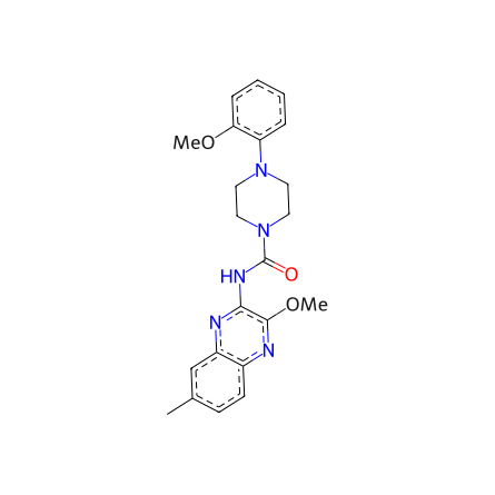 COc1ccccc1N1CCN(C(=O)Nc2nc3cc(C)ccc3nc2OC)CC1